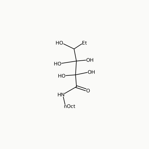 CCCCCCCCNC(=O)C(O)(O)C(O)(O)C(O)CC